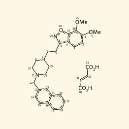 COc1ccc2c(CCC3CCN(Cc4ccc5ccccc5c4)CC3)noc2c1OC.O=C(O)C=CC(=O)O